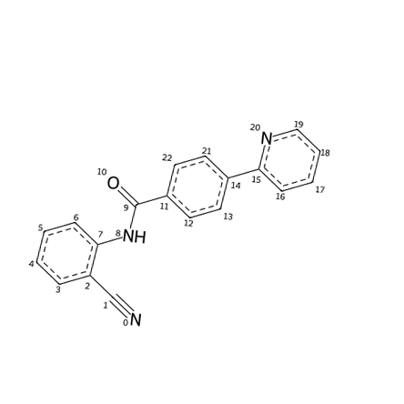 N#Cc1ccccc1NC(=O)c1ccc(-c2ccccn2)cc1